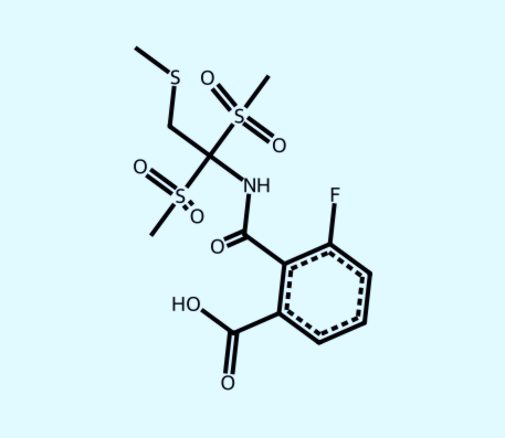 CSCC(NC(=O)c1c(F)cccc1C(=O)O)(S(C)(=O)=O)S(C)(=O)=O